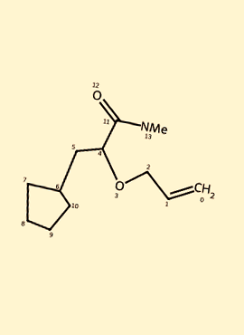 C=CCOC(CC1CCCC1)C(=O)NC